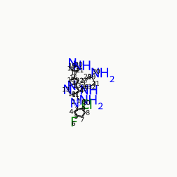 N/C(=N\c1cc(F)ccc1Cl)c1cnn2cc(-c3cn[nH]c3)cc2c1N[C@H]1CC[C@H](N)CC1